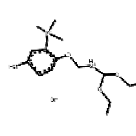 CCOC(OCC)[SiH2]COc1ccc(O)cc1[P+](C)(C)C.[Br-]